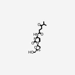 CC(C)C(=O)CCC(=O)Nc1ccn(C2CS[C@@H](CO)O2)c(=O)n1